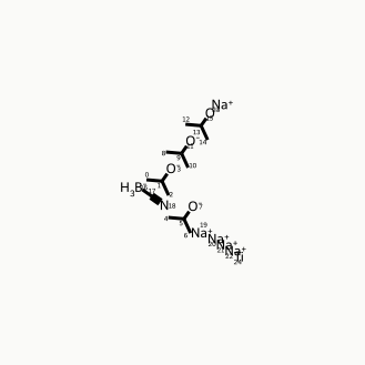 CC(C)[O-].CC(C)[O-].CC(C)[O-].CC(C)[O-].[BH3-]C#N.[Na+].[Na+].[Na+].[Na+].[Na+].[Ti]